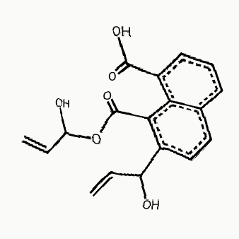 C=CC(O)OC(=O)c1c(C(O)C=C)ccc2cccc(C(=O)O)c12